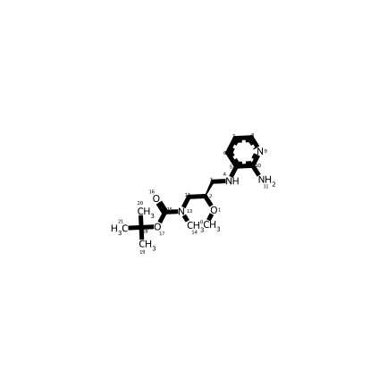 CO[C@H](CNc1cccnc1N)CN(C)C(=O)OC(C)(C)C